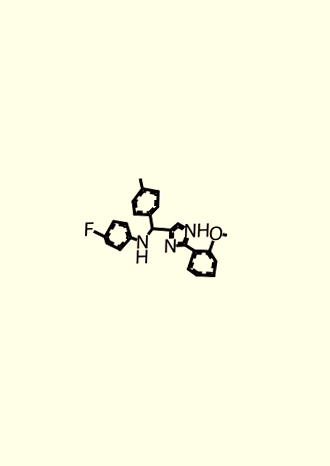 COc1ccccc1-c1nc(C(Nc2ccc(F)cc2)c2ccc(C)cc2)c[nH]1